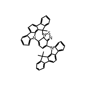 CC1(C)c2ccccc2-c2ccc3c4ccccc4n(-c4ccc(-n5c6ccccc6c6ccc7c(c65)C(C)(C)c5ccccc5-7)c5nsnc45)c3c21